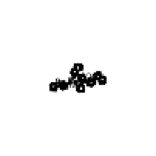 C1=CC(c2nc(-c3ccc4c(c3)CCC=C4)nc(-c3ccc4c(c3)oc3ccccc34)n2)=C(c2cccc3oc4c(-c5cccc6ccccc56)cccc4c23)CC1